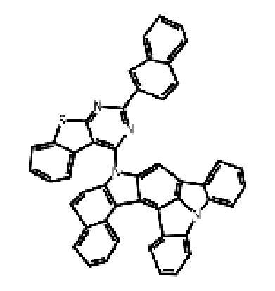 c1ccc2cc(-c3nc(-n4c5ccc6ccccc6c5c5c6c7ccccc7n7c8ccccc8c(cc54)c67)c4c(n3)sc3ccccc34)ccc2c1